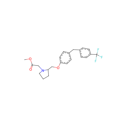 COC(=O)CN1CCCC1COc1ccc(Cc2ccc(C(F)(F)F)cc2)cc1